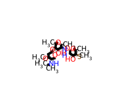 CO[C@H]1C[C@@H](O[C@H]2[C@@H](O)[C@H](NOC3C[C@H](O)[C@H](SC)[C@@H](C)O3)[C@@H](C)O[C@H]2C)OC[C@@H]1NC(C)C